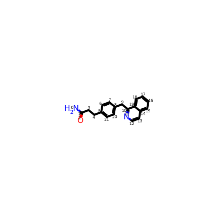 NC(=O)CCc1ccc(Cc2nccc3ccccc23)cc1